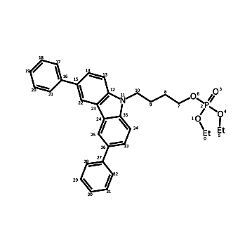 CCOP(=O)(OCC)OCCCCn1c2ccc(-c3ccccc3)cc2c2cc(-c3ccccc3)ccc21